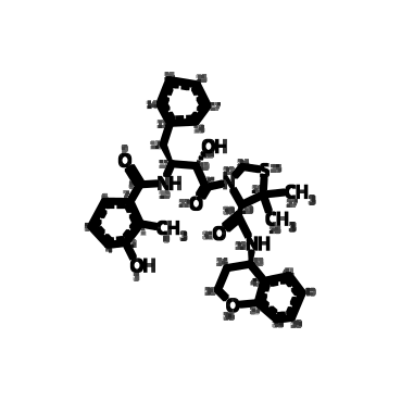 Cc1c(O)cccc1C(=O)N[C@@H](Cc1ccccc1)[C@H](O)C(=O)N1CSC(C)(C)[C@H]1C(=O)N[C@@H]1CCOc2ccccc21